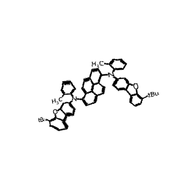 Cc1ccccc1N(c1ccc2c(c1)oc1c(C(C)(C)C)cccc12)c1ccc2ccc3c(N(c4ccc5c(c4)oc4c(C(C)(C)C)cccc45)c4ccccc4C)ccc4ccc1c2c43